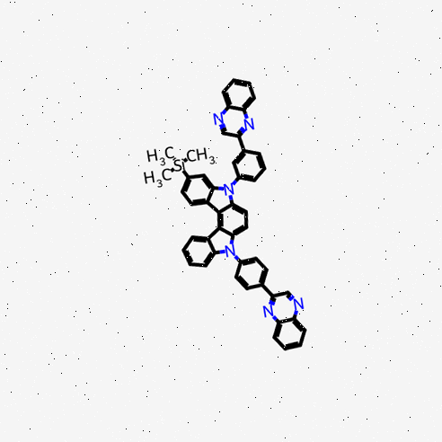 C[Si](C)(C)c1ccc2c3c4c5ccccc5n(-c5ccc(-c6cnc7ccccc7n6)cc5)c4ccc3n(-c3cccc(-c4cnc5ccccc5n4)c3)c2c1